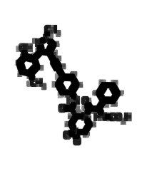 Cc1ccc(O)c(-c2nn(C)cc2C#Cc2ccc(NC(=O)[C@@H]3CS(=O)(=O)CCN3C(=O)C(NC(=O)O)c3ccccc3)cc2)c1